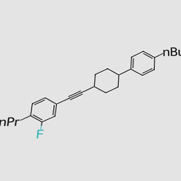 CCCCc1ccc(C2CCC(C#Cc3ccc(CCC)c(F)c3)CC2)cc1